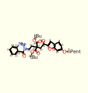 CCCCCOc1ccc2cc(C(=O)CC(CCn3nnc4ccccc4c3=O)(C(=O)OC(C)(C)C)C(=O)OC(C)(C)C)oc2c1